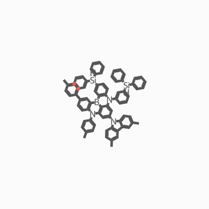 Cc1ccc(-c2ccc3c(c2)B2c4cc([SiH](c5ccccc5)c5ccccc5)ccc4N(c4cccc([SiH](c5ccccc5)c5ccccc5)c4)c4cc(-n5c6ccc(C)cc6c6cc(C)ccc65)cc(c42)N3c2ccc(C)cc2)cc1